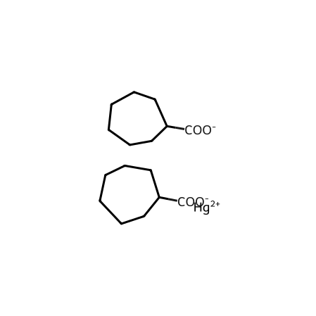 O=C([O-])C1CCCCCC1.O=C([O-])C1CCCCCC1.[Hg+2]